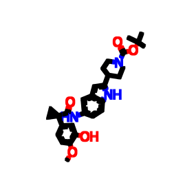 COc1ccc(C2(C(=O)Nc3ccc4[nH]c(C5CCN(C(=O)OC(C)(C)C)CC5)cc4c3)CC2)cc1O